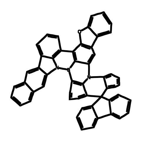 c1ccc2c(c1)-c1ccccc1C21c2ccccc2N2c3cc4c(oc5ccccc54)c4c3B(c3cccc1c32)n1c2cc3ccccc3cc2c2cccc-4c21